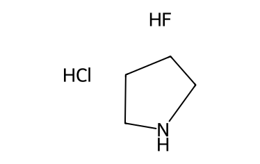 C1CCNC1.Cl.F